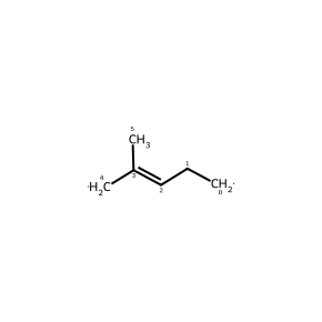 [CH2]C/C=C(/[CH2])C